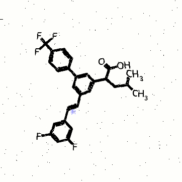 CC(C)CC(C(=O)O)c1cc(/C=C/c2cc(F)cc(F)c2)cc(-c2ccc(C(F)(F)F)cc2)c1